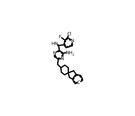 N=C(c1ccnc(Cl)c1F)c1ncc(CC2CCC3(CC2)Cc2ccccc2C3)nc1N